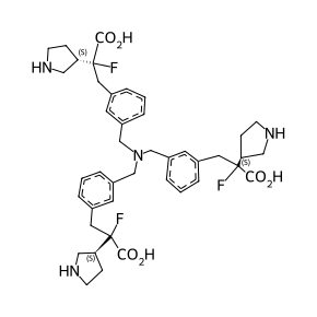 O=C(O)C(F)(Cc1cccc(CN(Cc2cccc(CC(F)(C(=O)O)[C@H]3CCNC3)c2)Cc2cccc(CC(F)(C(=O)O)[C@H]3CCNC3)c2)c1)[C@H]1CCNC1